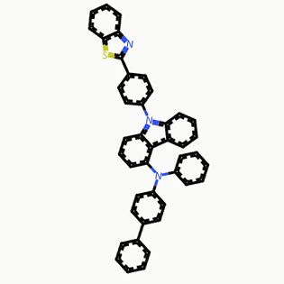 c1ccc(-c2ccc(N(c3ccccc3)c3cccc4c3c3ccccc3n4-c3ccc(-c4nc5ccccc5s4)cc3)cc2)cc1